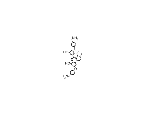 NCc1ccc(Oc2cc(O)cc(C(=O)N3C(c4cc(O)cc(Oc5ccc(CN)cc5)c4)CCC4CCCCC43)c2)cc1